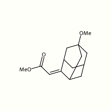 COC(=O)C=C1C2CC3CC1CC(OC)(C3)C2